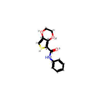 O=C(Nc1ccccc1)c1scc2c1OCCO2